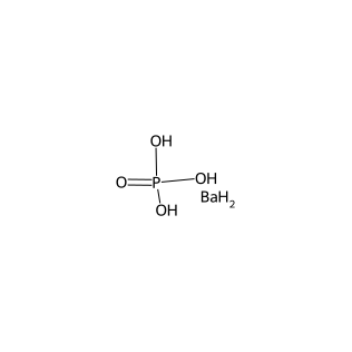 O=P(O)(O)O.[BaH2]